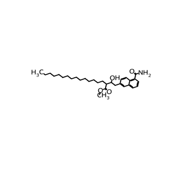 CCCCCCCCCCCCCCCC(C(=O)OC)C(O)Cc1ccc2c(C(N)=O)cccc2c1